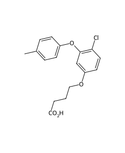 Cc1ccc(Oc2cc(OCCCC(=O)O)ccc2Cl)cc1